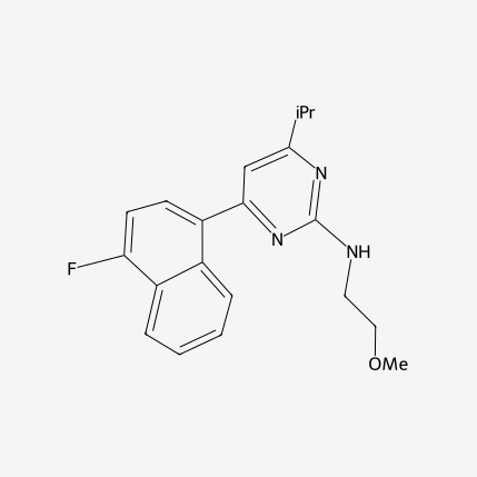 COCCNc1nc(-c2ccc(F)c3ccccc23)cc(C(C)C)n1